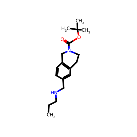 CCCNCc1ccc2c(c1)CCN(C(=O)OC(C)(C)C)C2